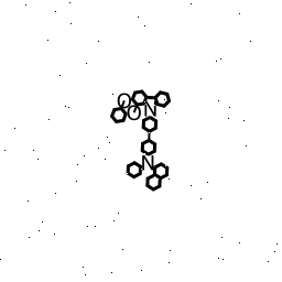 c1ccc(N(c2ccc(-c3ccc(-n4c5ccccc5c5ccc6c(c54)Oc4ccccc4O6)cc3)cc2)c2cccc3ccccc23)cc1